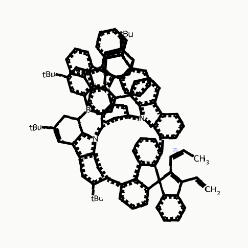 C=CC1=C(/C=C\C)C2(c3ccccc31)c1c3cccc1c1c2cccc1c1cc2c(cc1C(C)(C)C)c1c4n2c2cc(cc5c2B(c2cc(C(C)(C)C)cc6c7c(n-5c26)CCC(C(C)(C)C)=C7)C4CC(C(C)(C)C)=C1)n1c2c(-c4cccc5c4C4(c6ccccc6-c6ccccc64)c4ccccc4-5)cccc2c2cccc3c21